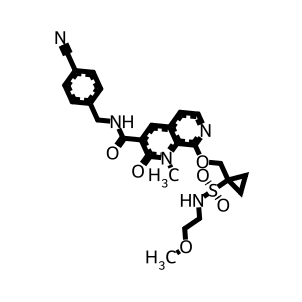 COCCNS(=O)(=O)C1(COc2nccc3cc(C(=O)NCc4ccc(C#N)cc4)c(=O)n(C)c23)CC1